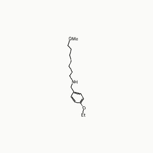 CCOc1ccc(CNCCCCCCCOC)cc1